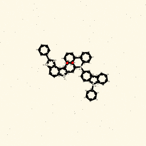 c1ccc(-c2nc3c(ccc4oc5cc(N(c6ccc7c(c6)c6ccccc6n7-c6ccccc6)c6ccccc6-c6ccccc6)ccc5c43)o2)cc1